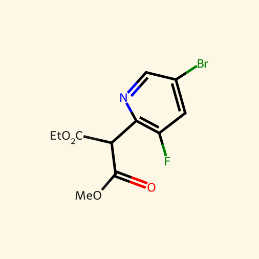 CCOC(=O)C(C(=O)OC)c1ncc(Br)cc1F